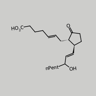 CCCCCC(O)C=C[C@@H]1CCC(=O)[C@H]1CC=CCCCC(=O)O